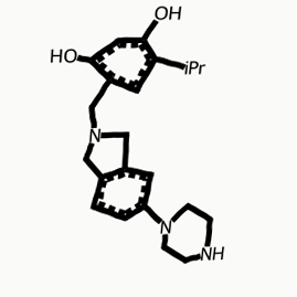 CC(C)c1cc(CN2Cc3ccc(N4CCNCC4)cc3C2)c(O)cc1O